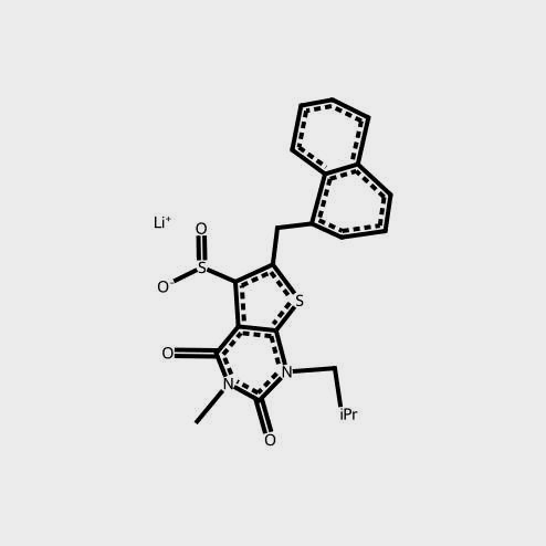 CC(C)Cn1c(=O)n(C)c(=O)c2c(S(=O)[O-])c(Cc3cccc4ccccc34)sc21.[Li+]